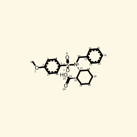 COc1ccc(S(=O)(=O)N(Cc2ccccc2)[C@@H]2CCCC[C@H]2C(=O)O)cc1